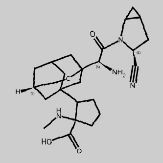 CNC1(C(=O)O)CCCC1C12CC3C[C@@H](C1)CC([C@H](N)C(=O)N1C4CC4C[C@H]1C#N)(C3)C2